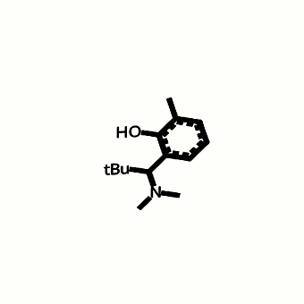 Cc1cccc(C(N(C)C)C(C)(C)C)c1O